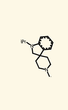 [CH2]N1CCC2(CC1)CN(C(C)C)c1ccccc12